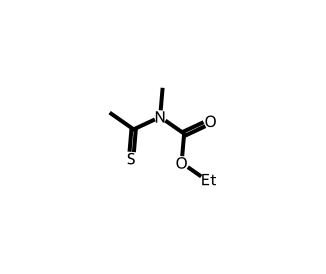 CCOC(=O)N(C)C(C)=S